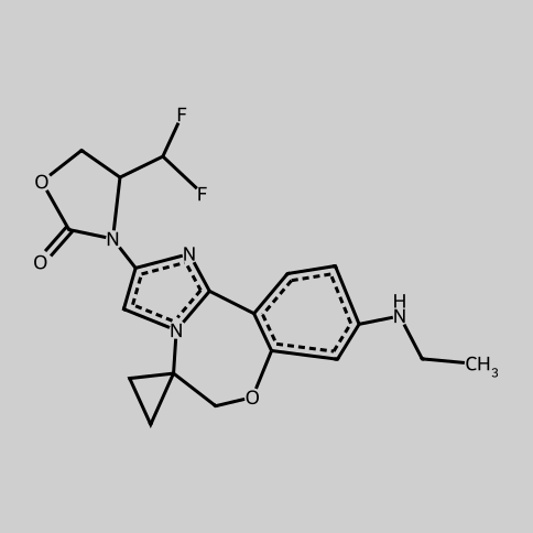 CCNc1ccc2c(c1)OCC1(CC1)n1cc(N3C(=O)OCC3C(F)F)nc1-2